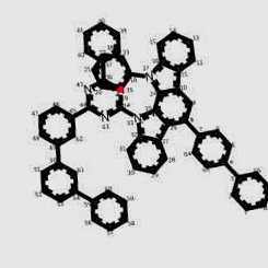 c1ccc(-c2ccc(-c3cc4c5ccccc5n(-c5ccccc5)c4c4c3c3ccccc3n4-c3nc(-c4ccccc4)nc(-c4cccc(-c5cccc(-c6ccccc6)c5)c4)n3)cc2)cc1